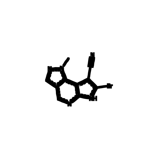 Cn1ncc2cnc3[nH]c(Br)c(C#N)c3c21